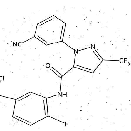 N#Cc1cccc(-n2nc(C(F)(F)F)cc2C(=O)Nc2cc(CCl)ccc2F)c1